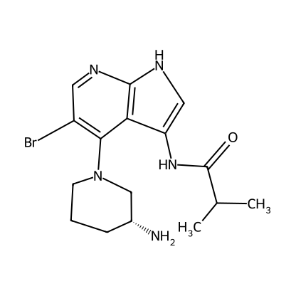 CC(C)C(=O)Nc1c[nH]c2ncc(Br)c(N3CCC[C@@H](N)C3)c12